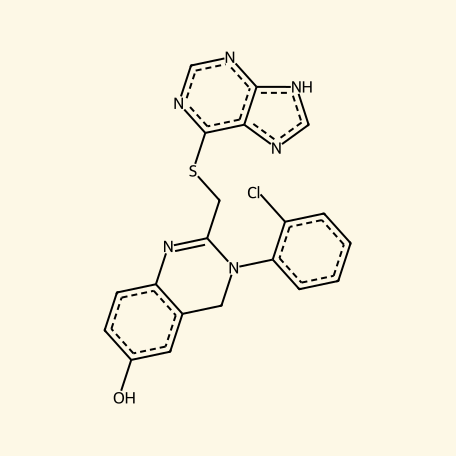 Oc1ccc2c(c1)CN(c1ccccc1Cl)C(CSc1ncnc3[nH]cnc13)=N2